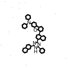 c1ccc(C2N=C(c3ccc(-c4cccc5c4oc4cc(N(c6ccccc6)c6ccccc6)ccc45)c4ccccc34)N=C(c3ccc4ccccc4c3)N2)cc1